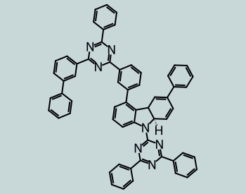 C1=C[C@@H]2C(C=C1c1ccccc1)c1c(-c3cccc(-c4nc(-c5ccccc5)nc(-c5cccc(-c6ccccc6)c5)n4)c3)cccc1N2c1nc(-c2ccccc2)nc(-c2ccccc2)n1